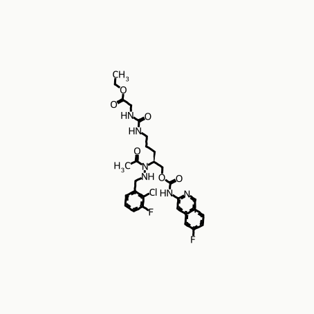 CCOC(=O)CNC(=O)NCCC[C@@H](COC(=O)Nc1cc2cc(F)ccc2cn1)N(NCc1cccc(F)c1Cl)C(C)=O